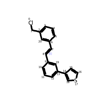 ClCc1cccc(/C=C/c2cccc(-c3ccsc3)c2)c1